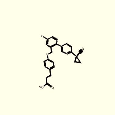 N#CC1(c2ccc(-c3ccc(F)cc3COc3ccc(CCC(=O)O)cc3)cn2)CC1